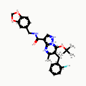 Cc1nc2c(C(=O)NCc3ccc4c(c3)OCO4)cnn2c(OC(C)(C)C)c1Cc1ccccc1F